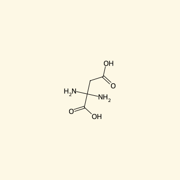 NC(N)(CC(=O)O)C(=O)O